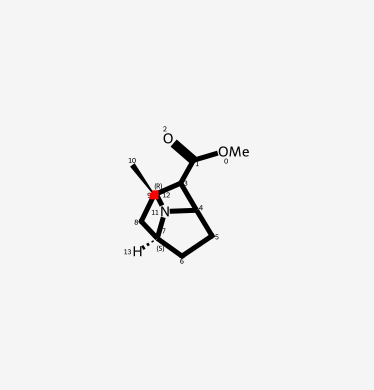 COC(=O)C1C2CC[C@@H](C[C@H]1C)N2C